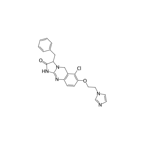 O=C1NC2=Nc3ccc(OCCn4ccnc4)c(Cl)c3CN2C1Cc1ccccc1